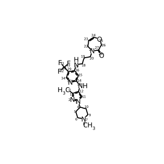 Cc1nn(C2CCN(C)CC2)cc1Nc1cc(NCCCN2CC=COCC2=O)c(C(F)(F)F)cn1